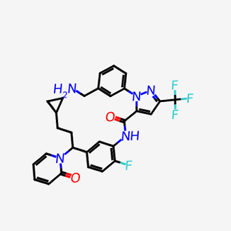 NCc1cccc(-n2nc(C(F)(F)F)cc2C(=O)Nc2cc(C(CCC3CC3)n3ccccc3=O)ccc2F)c1